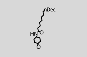 CCCCCCCCCCCCCCCCCC(=O)NC1CCC(=O)CC1